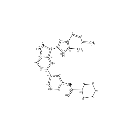 C=C/C=C\c1cc(-c2n[nH]c3ccc(-c4cncc(NC(=O)C5CCCCC5)c4)nc23)[nH]c1C